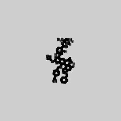 C#Cc1ccc(COc2c(-c3c(C)c(F)cc4c3cnn4CC3CCCCO3)c(C3CC3)cc3c(N4C[C@@H]5C[C@H]4CCC5C(=O)OC(C)(C)C=C)nc(OC4COC4)nc23)cc1